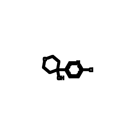 OC1(c2ccc(Cl)nc2)CCOCC1